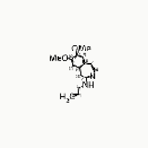 C=CCNC1=NC=Cc2cc(OC)c(OC)cc2C1